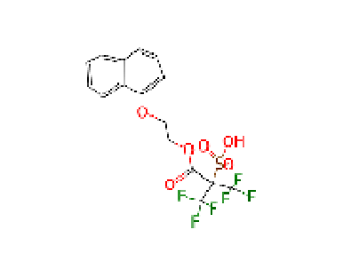 O=C(OCCOc1cccc2ccccc12)C(C(F)(F)F)(C(F)(F)F)S(=O)(=O)O